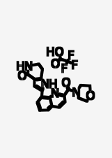 O=C(O)C(F)(F)F.O=C1NCCc2[nH]c(-c3cccc4ccc(C(=O)N5CCOCC5)nc34)cc21